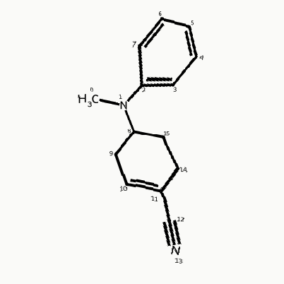 CN(c1ccccc1)C1CC=C(C#N)CC1